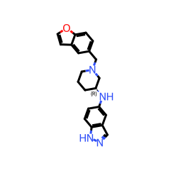 c1cc2cc(CN3CCC[C@@H](Nc4ccc5[nH]ncc5c4)C3)ccc2o1